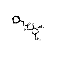 CCCCOC(=O)[C@H](CC(N)=O)NC(=O)OCc1ccccc1